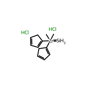 Cl.Cl.[CH3][Zr]([CH3])(=[SiH2])([C]1=CC=CC1)[C]1=CC=CC1